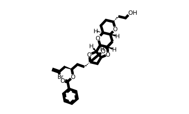 C=C(Br)C[C@@H](CC[C@@]12CC3O[C@H]4C(O1)[C@H]1O[C@@H](CCO)CC[C@@H]1O[C@H]4[C@H]3O2)OC(=O)c1ccccc1